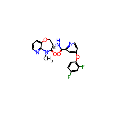 CN1C(=O)[C@@H](NC(=O)c2cc(Oc3ccc(F)cc3F)ccn2)COc2cccnc21